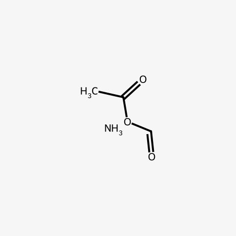 CC(=O)OC=O.N